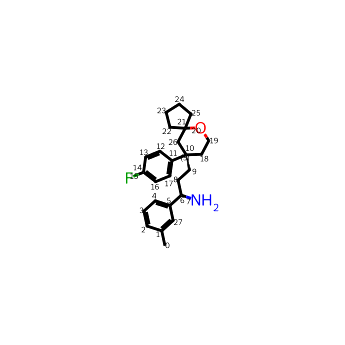 Cc1cccc(C(N)CC[C@]2(c3ccc(F)cc3)CCOC3(CCCC3)C2)c1